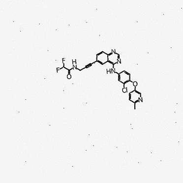 Cc1ccc(Oc2ccc(Nc3ncnc4ccc(C#CCNC(=O)C(F)F)cc34)cc2Cl)cn1